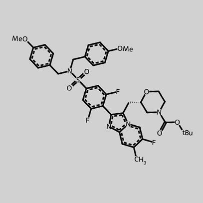 COc1ccc(CN(Cc2ccc(OC)cc2)S(=O)(=O)c2cc(F)c(-c3nc4cc(C)c(F)cn4c3C[C@H]3CN(C(=O)OC(C)(C)C)CCO3)c(F)c2)cc1